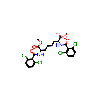 COC(=O)C(CCCCC(NC(=O)c1c(Cl)cccc1Cl)C(=O)OC)NC(=O)c1c(Cl)cccc1Cl